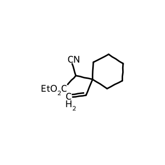 C=CC1(C(C#N)C(=O)OCC)CCCCC1